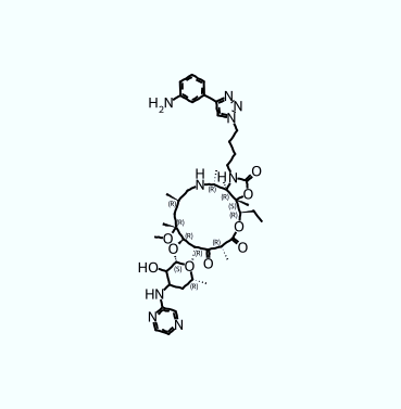 CC[C@H]1OC(=O)[C@H](C)C(=O)[C@H](C)[C@@H](O[C@@H]2O[C@H](C)CC(Nc3cnccn3)C2O)[C@](C)(OC)C[C@@H](C)CN[C@H](C)[C@H]2N(CCCCn3cc(-c4cccc(N)c4)nn3)C(=O)O[C@]12C